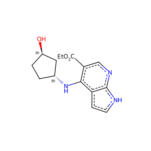 CCOC(=O)c1cnc2[nH]ccc2c1N[C@@H]1CC[C@@H](O)C1